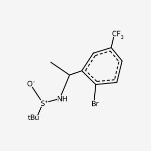 CC(N[S+]([O-])C(C)(C)C)c1cc(C(F)(F)F)ccc1Br